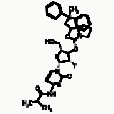 CC(C)C(=O)Nc1ccn([C@@H]2O[C@H](CO)C(O[P@]3O[C@@H](C[Si](C)(c4ccccc4)c4ccccc4)[C@H]4CCCN43)[C@@H]2F)c(=O)n1